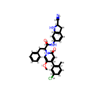 COc1cn(C(Cc2ccccc2)C(=O)Nc2ccc3c(c2)NC(C#N)C3)c(=O)cc1-c1cc(Cl)ccc1C